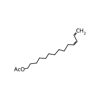 C=C/C=C\CCCCCCCCCCOC(C)=O